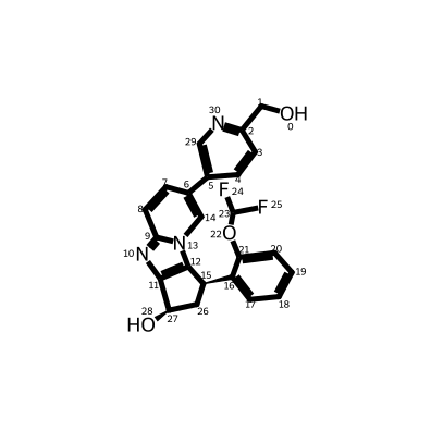 OCc1ccc(-c2ccc3nc4c(n3c2)[C@@H](c2ccccc2OC(F)F)C[C@H]4O)cn1